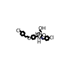 O=C(NCCO)/C(=C\c1ccc(Cl)cc1)NC(=O)c1ccc(OCCc2ccc(Cl)cc2)cc1